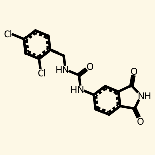 O=C(NCc1ccc(Cl)cc1Cl)Nc1ccc2c(c1)C(=O)NC2=O